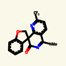 CNC1=NC(=O)C2(COc3ccccc32)c2nc(C(F)(F)F)ccc21